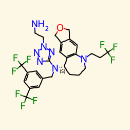 NCCn1nnc(N(Cc2cc(C(F)(F)F)cc(C(F)(F)F)c2)[C@H]2CCCN(CCC(F)(F)F)c3cc4c(cc32)COC4)n1